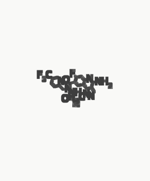 Cn1ncc2c(N)nc3cc(F)c(C(=O)N(Cc4ccc(C(F)(F)F)cn4)NC(=O)C45CC(C4)C5)cc3c21